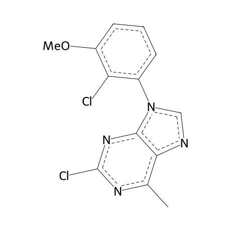 COc1cccc(-n2cnc3c(C)nc(Cl)nc32)c1Cl